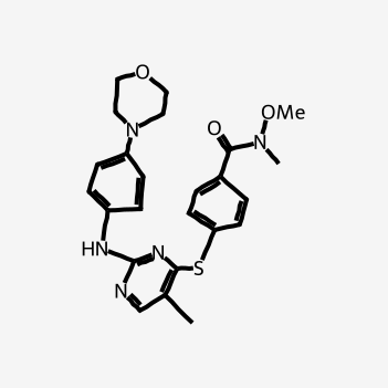 CON(C)C(=O)c1ccc(Sc2nc(Nc3ccc(N4CCOCC4)cc3)ncc2C)cc1